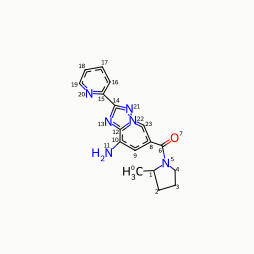 CC1CCCN1C(=O)c1cc(N)c2nc(-c3ccccn3)nn2c1